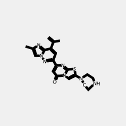 C=C(C)c1cc(-c2cc(=O)n3cc(N4CCNCC4)sc3n2)nn2cc(C)nc12